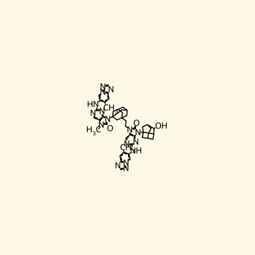 Cc1cc2ncnn2cc1Nc1ncc2c(n1)n(C13CC4CC(CC(CCn5c(=O)n(C67CC8CC69C(CC9C8O)C7)c6nc(Nc7cn8ncnc8cc7C)ncc65)(C4)C1)C3)c(=O)n2C